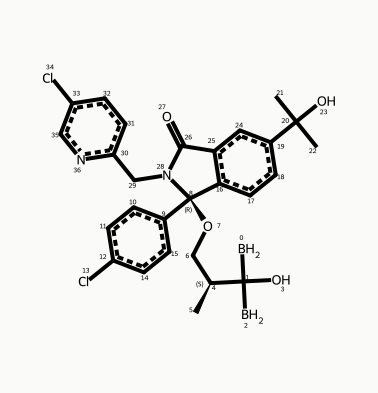 BC(B)(O)[C@@H](C)CO[C@]1(c2ccc(Cl)cc2)c2ccc(C(C)(C)O)cc2C(=O)N1Cc1ccc(Cl)cn1